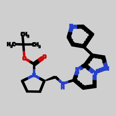 CC(C)(C)OC(=O)N1CCC[C@H]1CNc1ccn2ncc(-c3ccncc3)c2n1